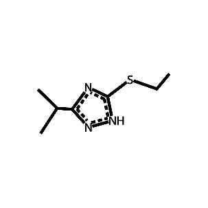 CCSc1nc(C(C)C)n[nH]1